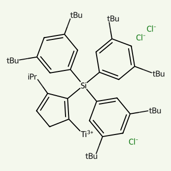 CC(C)C1=CC[C]([Ti+3])=C1[Si](c1cc(C(C)(C)C)cc(C(C)(C)C)c1)(c1cc(C(C)(C)C)cc(C(C)(C)C)c1)c1cc(C(C)(C)C)cc(C(C)(C)C)c1.[Cl-].[Cl-].[Cl-]